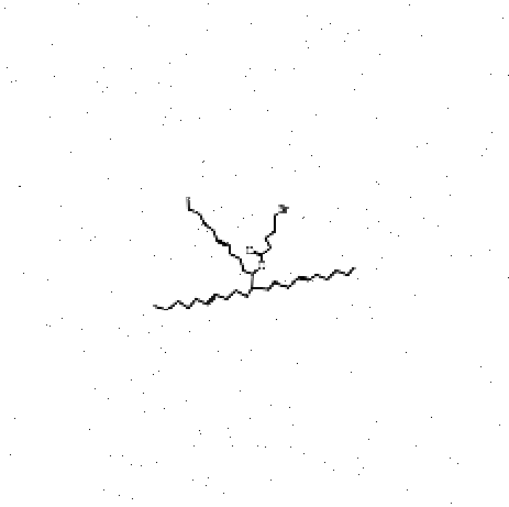 CCCCCC=CCCCC(CCCC=CCCCCC)C(CCCC=CCCCCC)OC(=O)CCCCBr